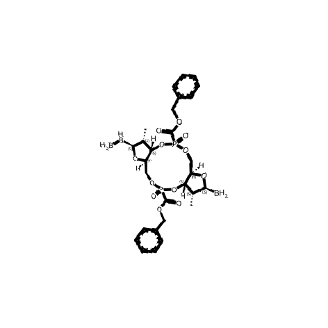 BB[C@@H]1O[C@@H]2COP(=O)(C(=O)OCc3ccccc3)O[C@H]3[C@@H](C)[C@H](B)O[C@@H]3COP(=O)(C(=O)OCc3ccccc3)O[C@H]2[C@H]1C